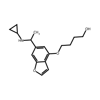 CC(NC1CC1)c1cc(OCCCCO)c2ccoc2c1